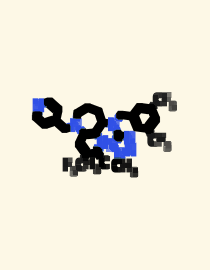 Cc1nc2c(cc1C(F)(F)F)N(Cc1ccncc1)CCCC2N(Cc1cc(C(F)(F)F)cc(C(F)(F)F)c1)c1nnn(C)n1